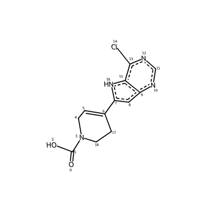 O=C(O)N1CC=C(c2cc3ncnc(Cl)c3[nH]2)CC1